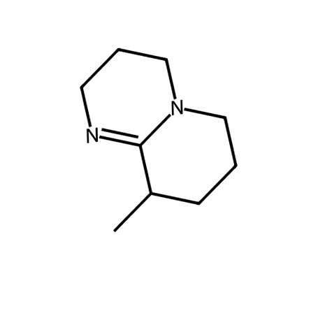 CC1CCCN2CCCN=C12